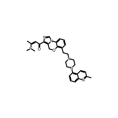 CC(=CC(=O)c1ncn2c1COc1c(CCN3CCN(c4cccc5nc(C)ccc45)CC3)cccc1-2)N(C)C